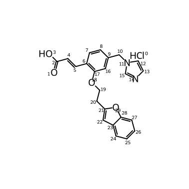 Cl.O=C(O)/C=C/c1ccc(Cn2ccnc2)cc1OCCc1cc2ccccc2o1